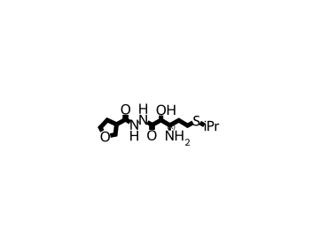 CC(C)SCC[C@@H](N)C(O)C(=O)NNC(=O)C1CCOC1